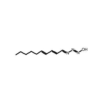 CCCCC/C=C/C=C/C=N/N=N/O